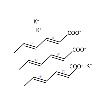 C/C=C/C=C/C(=O)[O-].C/C=C/C=C/C(=O)[O-].C/C=C/C=C/C(=O)[O-].[K+].[K+].[K+]